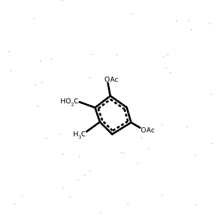 CC(=O)Oc1cc(C)c(C(=O)O)c(OC(C)=O)c1